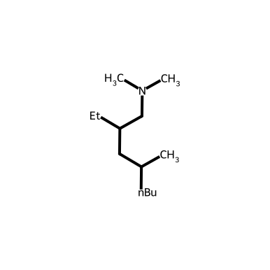 CCCCC(C)CC(CC)CN(C)C